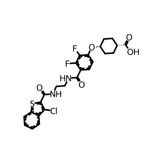 O=C(NCCNC(=O)c1sc2ccccc2c1Cl)c1ccc(O[C@H]2CC[C@@H](C(=O)O)CC2)c(F)c1F